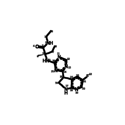 CCNC(=O)[C@@](C)(CC)Nc1ncnc(C2CNc3ncc(F)cc32)n1